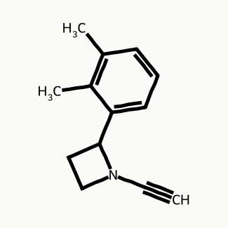 C#CN1CCC1c1cccc(C)c1C